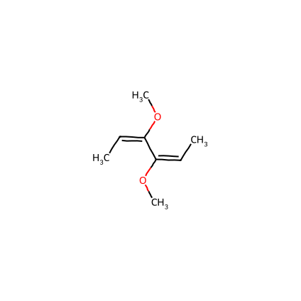 C/C=C(OC)\C(=C/C)OC